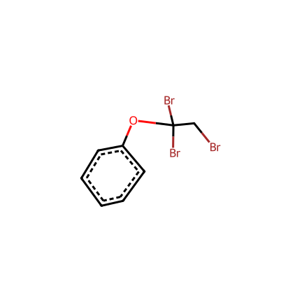 BrCC(Br)(Br)Oc1ccccc1